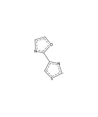 [c]1nc(-c2ncco2)cs1